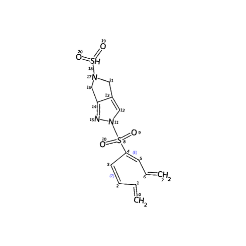 C=C/C=C\C(=C/C=C)S(=O)(=O)n1cc2c(n1)CN([SH](=O)=O)C2